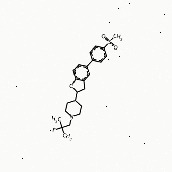 CC(C)(F)CN1CCC(C2Cc3cc(-c4ccc(S(C)(=O)=O)cc4)ccc3O2)CC1